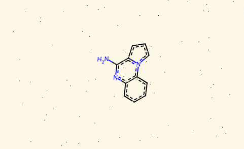 Nc1nc2ccccc2n2cccc12